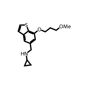 COCCCOc1cc(CNC2CC2)cc2ccsc12